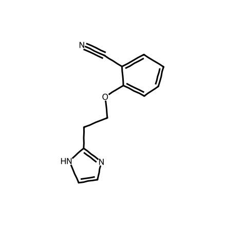 N#Cc1ccccc1OCCc1ncc[nH]1